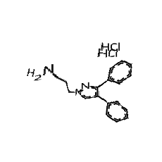 Cl.Cl.NCCCn1cc(-c2ccccc2)c(-c2ccccc2)n1